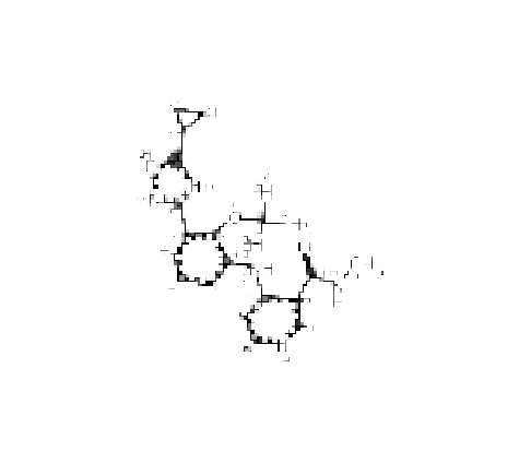 [2H]C([2H])([2H])Oc1c(Nc2ccncc2C(=O)NC)cccc1-c1noc(C2CC2)n1